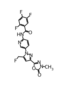 Cn1nc(-c2cc(CF)n(-c3ccc(NC(=O)c4cc(F)c(F)cc4F)nc3)n2)oc1=O